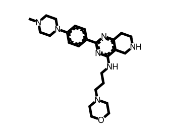 CN1CCN(c2ccc(-c3nc4c(c(NCCCN5CCOCC5)n3)CNCC4)cc2)CC1